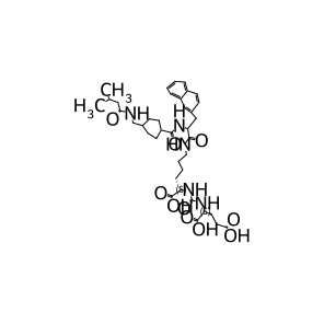 CC(C)CC(=O)NCC1CCC(C(=O)NC(Cc2ccc3ccccc3c2)C(=O)NCCCC[C@H](NC(=O)N[C@@H](CCC(=O)O)C(=O)O)C(=O)O)CC1